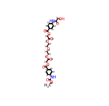 COC(=O)Nc1ccc(C(=O)OCC(=O)OCCOCCOC(=O)COC(=O)c2ccc(NC(=O)CO)cc2)cc1